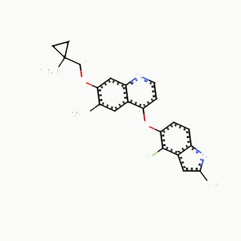 COc1cc2c(Oc3ccc4[nH]c(C)cc4c3F)ccnc2cc1OCC1(NC(C)=O)CC1